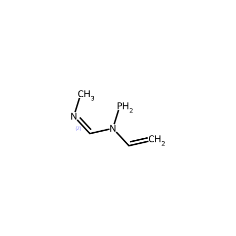 C=CN(P)/C=N\C